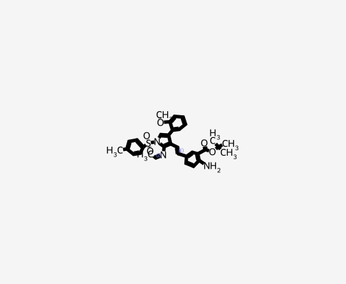 C/C=N\c1c(/C=C/c2ccc(N)c(C(=O)OC(C)(C)C)c2)c(-c2ccccc2OC)cn1S(=O)(=O)c1ccc(C)cc1